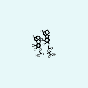 CC(C)(OC(=O)COc1cc2c(c(Cl)c1Cl)C1=CC(=O)C3CCC1(C2)C3)C(=O)O.O=C(O)COc1cc2c(c(Cl)c1Cl)C1=CC(=O)C3CCC1(C2)C3